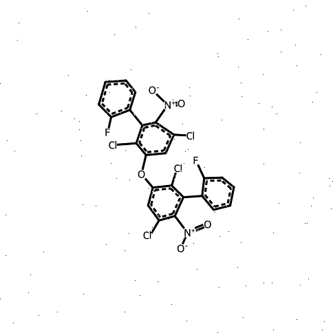 O=[N+]([O-])c1c(Cl)cc(Oc2cc(Cl)c([N+](=O)[O-])c(-c3ccccc3F)c2Cl)c(Cl)c1-c1ccccc1F